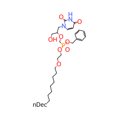 CCCCCCCCCCCCCCCCCCOCCOP(=O)(COC(CO)Cn1ccc(=O)[nH]c1=O)OCc1ccccc1